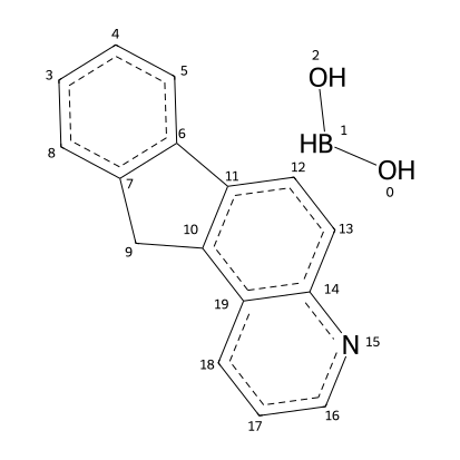 OBO.c1ccc2c(c1)Cc1c-2ccc2ncccc12